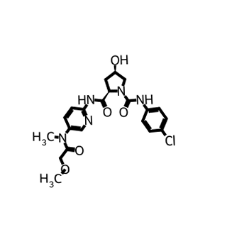 COCC(=O)N(C)c1ccc(NC(=O)[C@H]2C[C@@H](O)CN2C(=O)Nc2ccc(Cl)cc2)nc1